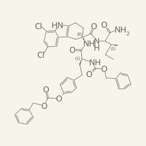 CC[C@H](C)C(NC(=O)[C@@]1(NC(=O)[C@H](CCc2ccc(OC(=O)OCc3ccccc3)cc2)NC(=O)OCc2ccccc2)CCc2[nH]c3c(Cl)cc(Cl)cc3c2C1)C(N)=O